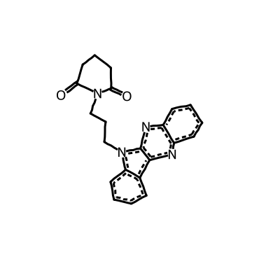 O=C1CCCC(=O)N1CCCn1c2ccccc2c2nc3ccccc3nc21